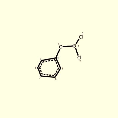 ClB(Cl)Oc1ccccc1